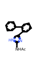 CC(=O)Nc1nc(-c2ccccc2-c2ccccc2)c[nH]1